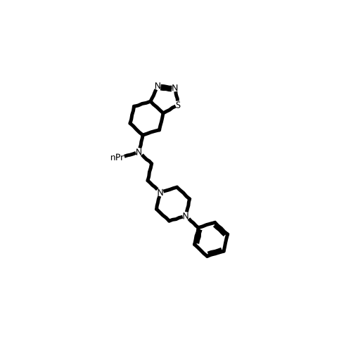 CCCN(CCN1CCN(c2ccccc2)CC1)C1CCC2N=NSC2C1